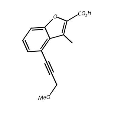 COCC#Cc1cccc2oc(C(=O)O)c(C)c12